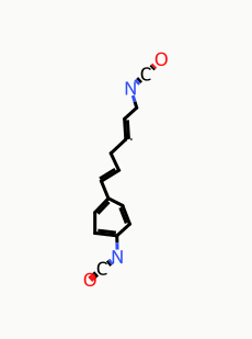 O=C=NCC=[C]CC=Cc1ccc(N=C=O)cc1